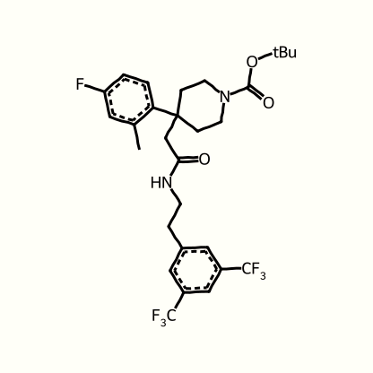 Cc1cc(F)ccc1C1(CC(=O)NCCc2cc(C(F)(F)F)cc(C(F)(F)F)c2)CCN(C(=O)OC(C)(C)C)CC1